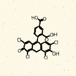 O=C1C(Cl)=CC2=C(c3ccc(C(=O)O)cc3C(=O)O)c3cc(Cl)c(O)c(Cl)c3CC2=C1Cl